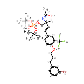 CC1=NC(/C=C/c2ccc(OCCCc3cccc(Br)c3)c(C(F)(F)F)c2)(COP(=O)(OC(C)(C)C)OC(C)(C)C)CO1